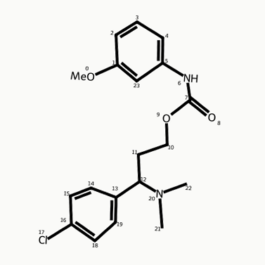 COc1cccc(NC(=O)OCCC(c2ccc(Cl)cc2)N(C)C)c1